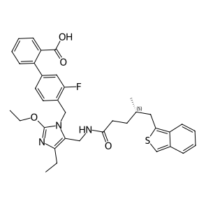 CCOc1nc(CC)c(CNC(=O)CC[C@H](C)Cc2scc3ccccc23)n1Cc1ccc(-c2ccccc2C(=O)O)cc1F